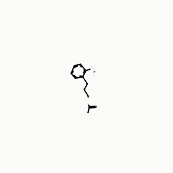 CC(=O)OCCCc1ccccc1[N+](=O)[O-]